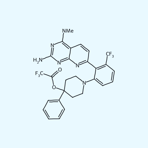 CNc1nc(N)nc2nc(-c3c(N4CCC(OC(=O)C(F)(F)F)(c5ccccc5)CC4)cccc3C(F)(F)F)ccc12